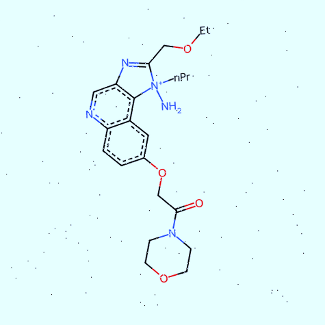 CCC[N+]1(N)C(COCC)=Nc2cnc3ccc(OCC(=O)N4CCOCC4)cc3c21